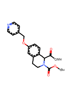 COC(=O)C1c2ccc(OCc3ccncc3)cc2CCN1C(=O)OC(C)(C)C